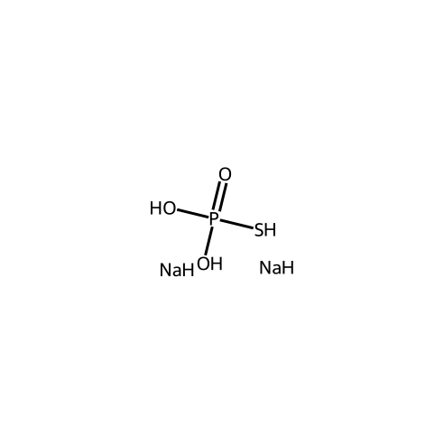 O=P(O)(O)S.[NaH].[NaH]